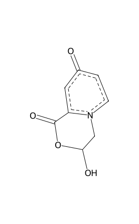 O=C1OC(O)Cn2ccc(=O)cc21